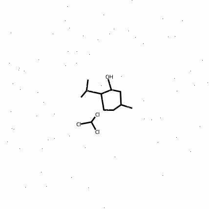 CC1CCC(C(C)C)C(O)C1.ClC(Cl)Cl